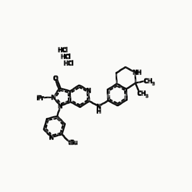 CC(C)n1c(=O)c2cnc(Nc3ccc4c(c3)CCNC4(C)C)cc2n1-c1ccnc(C(C)(C)C)c1.Cl.Cl.Cl